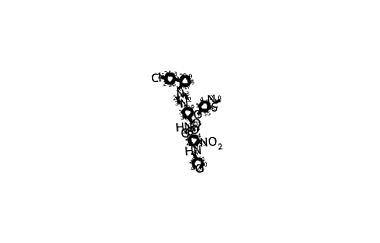 Cc1nc2ccc(Oc3cc(N4CCN(Cc5ccccc5-c5ccc(Cl)cc5)CC4)ccc3C(=O)NS(=O)(=O)c3ccc(NCC4CCOCC4)c([N+](=O)[O-])c3)cc2s1